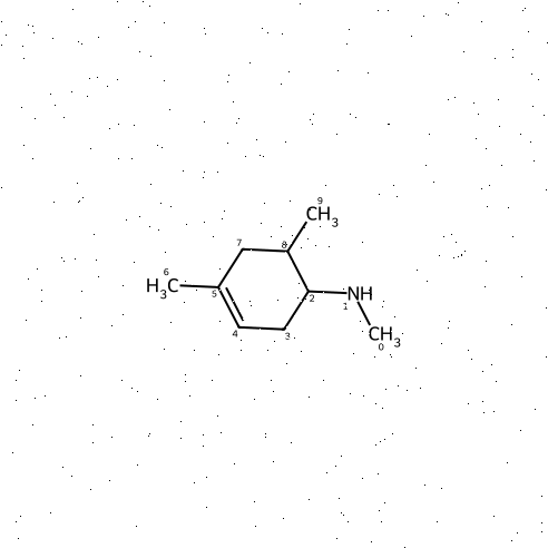 CNC1CC=C(C)CC1C